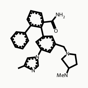 CNC1CCN(Cc2cc(-c3c(C(N)=O)cccc3-c3ccccc3)cc(-n3cnc(C)c3)c2)C1